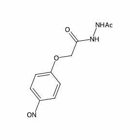 CC(=O)NNC(=O)COc1ccc(N=O)cc1